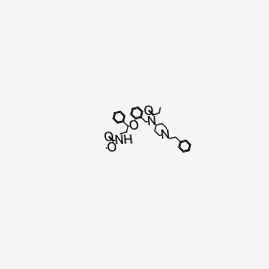 CCC(=O)N(Cc1ccccc1OC(CCNC(=O)OC)c1ccccc1)C1CCN(CCc2ccccc2)CC1